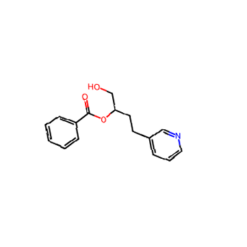 O=C(OC(CO)CCc1cccnc1)c1ccccc1